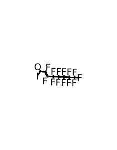 O=C(I)C(F)=C(F)C(F)(F)C(F)(F)C(F)(F)C(F)(F)C(F)(F)F